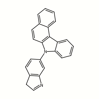 C1=Nc2cc(-n3c4ccccc4c4c5ccccc5ccc43)ccc2C1